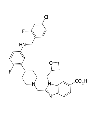 O=C(O)c1ccc2nc(CN3CC=C(c4cc(NCc5ccc(Cl)cc5F)ccc4F)CC3)n(CC3CCO3)c2c1